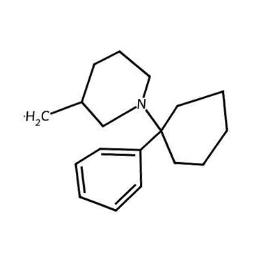 [CH2]C1CCCN(C2(c3ccccc3)CCCCC2)C1